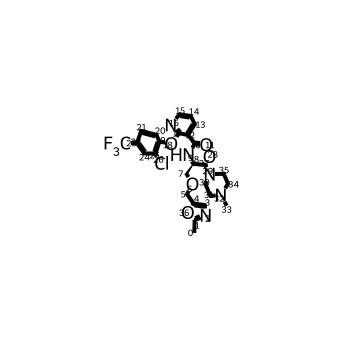 Cc1ncc(COC[C@@H](NC(=O)c2cccnc2Oc2ccc(C(F)(F)F)cc2Cl)C(=O)N2CCN(C)CC2)o1